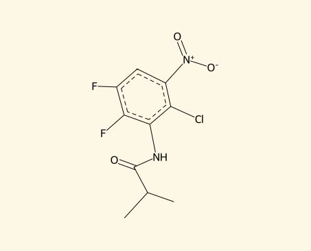 CC(C)C(=O)Nc1c(F)c(F)cc([N+](=O)[O-])c1Cl